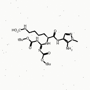 Cn1ncc(NC(=O)[C@H](CCCCNC(=O)O)N/C(=N\C(=O)OC(C)(C)C)NC(=O)OC(C)(C)C)c1N